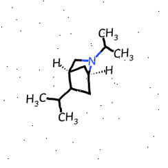 CC(C)C1C[C@H]2C[C@@H]1CN2C(C)C